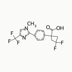 Cn1cc(C(F)(F)F)nc1-c1ccc(C2(C(=O)O)CC(F)(F)C2)cc1